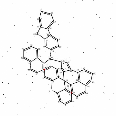 c1ccc2c(c1)Sc1ccccc1C21c2cc(N(c3ccc4c(c3)sc3ccccc34)c3cccc4ccccc34)ccc2-c2cccc3cccc1c23